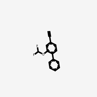 C#Cc1ccc(-c2ccccc2)c(OC(F)F)c1